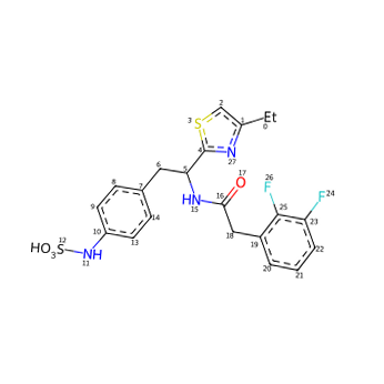 CCc1csc(C(Cc2ccc(NS(=O)(=O)O)cc2)NC(=O)Cc2cccc(F)c2F)n1